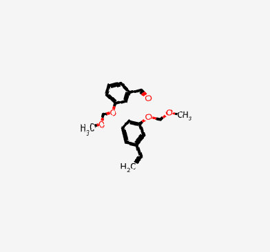 C=Cc1cccc(OCOC)c1.COCOc1cccc(C=O)c1